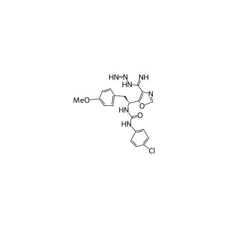 COc1ccc(C[C@H](NC(=O)Nc2ccc(Cl)cc2)c2ocnc2C(=N)NN=N)cc1